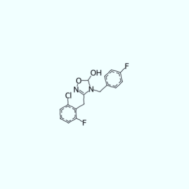 OC1ON=C(Cc2c(F)cccc2Cl)N1Cc1ccc(F)cc1